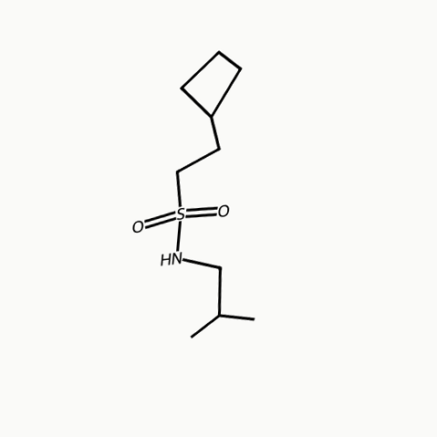 CC(C)CNS(=O)(=O)CCC1CCC1